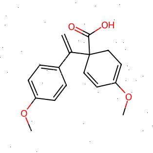 C=C(c1ccc(OC)cc1)C1(C(=O)O)C=CC(OC)=CC1